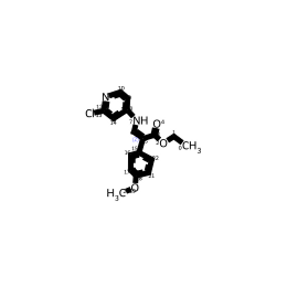 CCOC(=O)/C(=C\Nc1ccnc(Cl)c1)c1ccc(OC)cc1